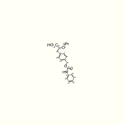 CC(C)OC(Cc1ccc(COC(=O)Nc2ccccc2)cc1)C(=O)O